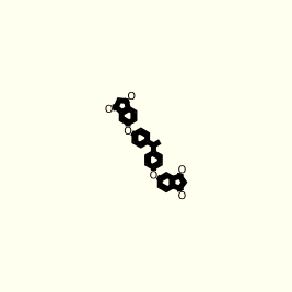 CC(c1ccc(Oc2ccc3c(c2)C(=O)CC3=O)cc1)c1ccc(Oc2ccc3c(c2)C(=O)CC3=O)cc1